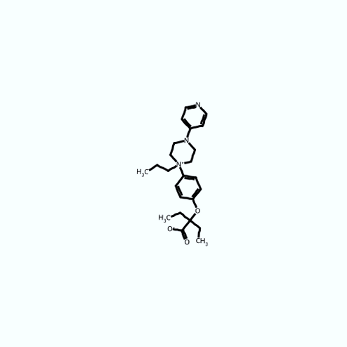 CCC[N+]1(c2ccc(OC(CC)(CC)C(=O)[O-])cc2)CCN(c2ccncc2)CC1